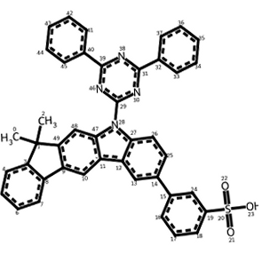 CC1(C)c2ccccc2-c2cc3c4cc(-c5cccc(S(=O)(=O)O)c5)ccc4n(-c4nc(-c5ccccc5)nc(-c5ccccc5)n4)c3cc21